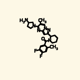 Cc1cc(F)c(F)cc1C(=O)N1CCCCC1c1cc2nc(N3CCC(N)C3)c(C)cn2n1